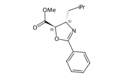 COC(=O)[C@@H]1OC(c2ccccc2)=N[C@H]1CC(C)C